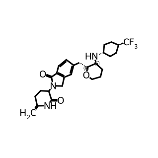 C=C1CCC(N2Cc3cc(C[C@H]4OCCC[C@@H]4N[C@H]4CC[C@H](C(F)(F)F)CC4)ccc3C2=O)C(=O)N1